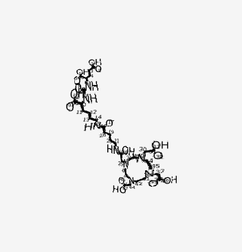 O=C(O)CCC(NC(=O)NC(CCCCNC(=O)CCCCNC(O)CN1CCN(CC(=O)O)CCN(CC(=O)O)CCN(CC(=O)O)CC1)C(=O)O)C(=O)O